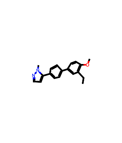 CCc1cc(-c2ccc(-c3ccnn3C)cc2)ccc1OC